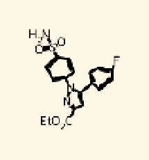 CCOC(=O)c1cc(-c2ccc(F)cc2)n(-c2ccc(S(N)(=O)=O)cc2)n1